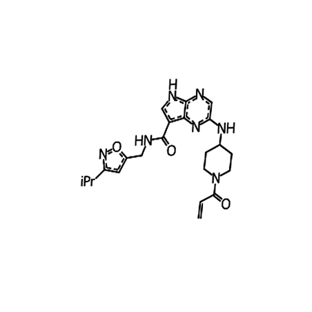 C=CC(=O)N1CCC(Nc2cnc3[nH]cc(C(=O)NCc4cc(C(C)C)no4)c3n2)CC1